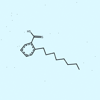 CCCCCCCCc1ccccc1C(=S)S